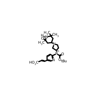 CC1(C)CC(N2CC[C@@H](N(C(=O)OC(C)(C)C)c3ccc(C=CC(=O)O)cn3)C2)CC(C)(C)N1